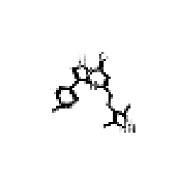 Cc1ccc(-c2c[nH]n3c(=O)cc(CCc4c(C)n[nH]c4C)nc23)cc1